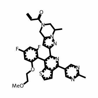 C=CC(=O)N1Cc2cc(-c3nc(-c4cnc(C)nc4)c4ccsc4c3-c3c(F)cc(F)cc3OCCOC)nn2C(C)C1